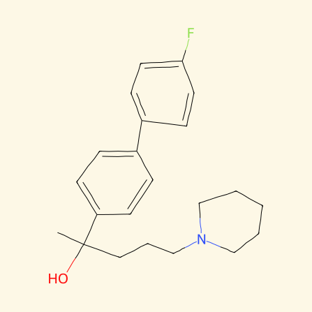 CC(O)(CCCN1CCCCC1)c1ccc(-c2ccc(F)cc2)cc1